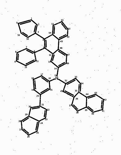 c1ccc(-c2c(-c3ccccc3)c3cc(N(c4cccc(-c5ccc6ccccc6c5)c4)c4ccc5c(ccc6ccccc65)c4)ccc3c3ccccc23)cc1